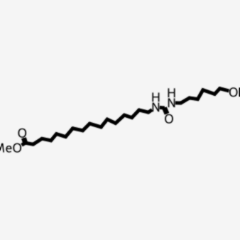 COC(=O)CCCCCCCCCCCCCCCNC(=O)NCCCCCCO